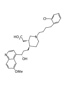 COc1ccc2nccc([C@@H](O)CC[C@@H]3CCN(CCCCc4ccccc4Cl)C[C@@H]3CC(=O)O)c2c1